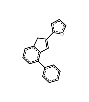 C1=C(c2ccco2)Cc2cccc(-c3ccccc3)c21